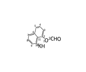 O=COc1cccc2ccccc12.[KH]